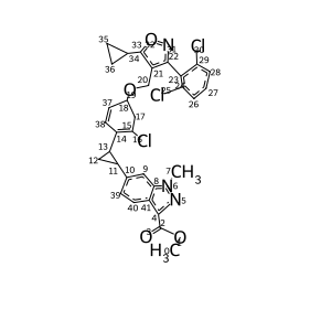 COC(=O)c1nn(C)c2cc(C3CC3C3=C(Cl)CC(OCc4c(-c5c(Cl)cccc5Cl)noc4C4CC4)C=C3)ccc12